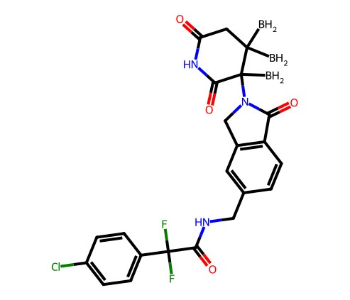 BC1(B)CC(=O)NC(=O)C1(B)N1Cc2cc(CNC(=O)C(F)(F)c3ccc(Cl)cc3)ccc2C1=O